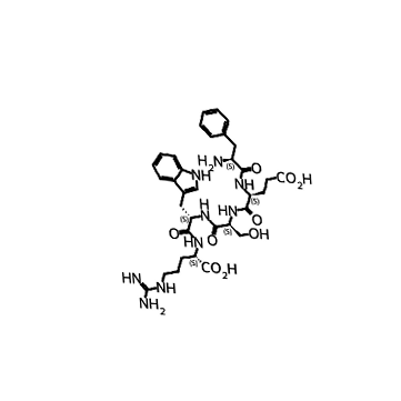 N=C(N)NCCC[C@H](NC(=O)[C@H](Cc1c[nH]c2ccccc12)NC(=O)[C@H](CO)NC(=O)[C@H](CCC(=O)O)NC(=O)[C@@H](N)Cc1ccccc1)C(=O)O